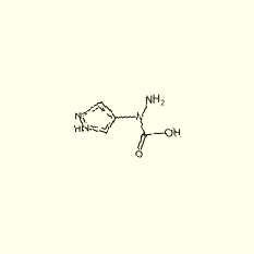 NN(C(=O)O)c1cn[nH]c1